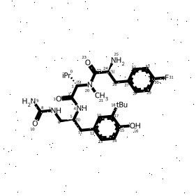 CC(C)[C@@H](C(=O)N[C@H](CNC(N)=O)Cc1ccc(O)c(C(C)(C)C)c1)N(C)C(=O)[C@@H](N)Cc1ccc(F)cc1